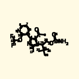 CC(=O)c1c(-c2cccnc2OC(F)F)nc(C)n1C(COC(N)=O)C(C)(C)C